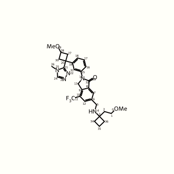 COCCC1(NCc2cc3c(c(C(F)(F)F)c2)CN(c2cccc(C4(c5nncn5C)CC(OC)C4)c2)C3=O)CCC1